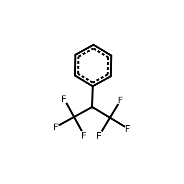 FC(F)(F)[C](c1ccccc1)C(F)(F)F